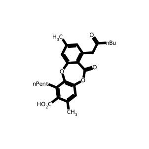 CCCCCc1c2c(cc(C)c1C(=O)O)OC(=O)c1c(CC(=O)CCCC)cc(C)cc1O2